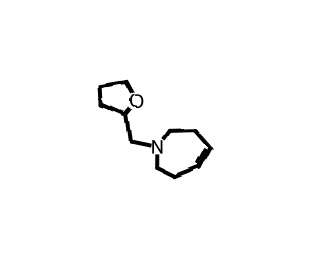 C1=CCCN(CC2CCCO2)CC1